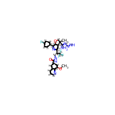 COc1cc(C(=O)NC[C@H](c2cc3c(c(-c4ccc(F)cc4)n2)OC[C@]3(C)/C(N)=N/N=N)C(F)(F)F)cc2cccnc12